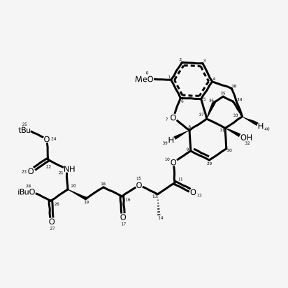 COc1ccc2c3c1O[C@H]1C(OC(=O)[C@H](C)OC(=O)CC[C@H](NC(=O)OC(C)(C)C)C(=O)OCC(C)C)=CC[C@@]4(O)[C@H](CCC[C@]314)C2